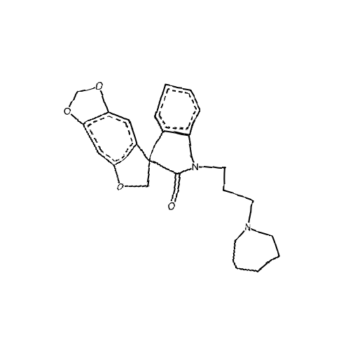 O=C1N(CCCN2CCCCC2)c2ccccc2C12COc1cc3c(cc12)OCO3